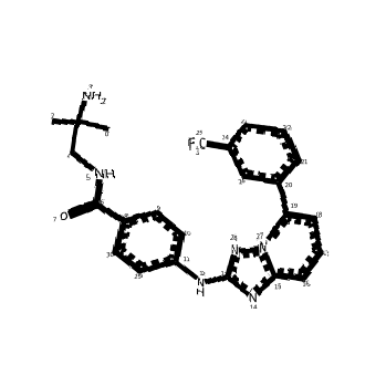 CC(C)(N)CNC(=O)c1ccc(Nc2nc3cccc(-c4cccc(C(F)(F)F)c4)n3n2)cc1